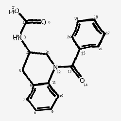 O=C(O)NC1Cc2ccccc2N(C(=O)c2ccccc2)C1